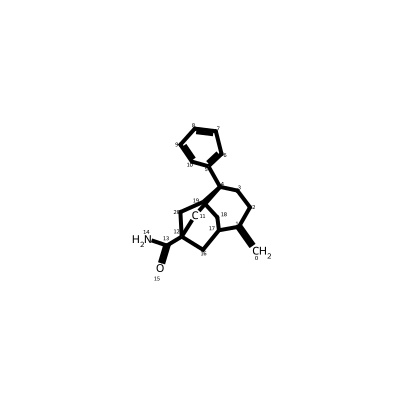 C=C1CCC2(c3ccccc3)CC3(C(N)=O)CC1CC2C3